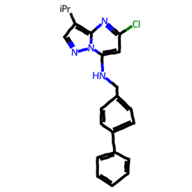 CC(C)c1cnn2c(NCc3ccc(-c4ccccc4)cc3)cc(Cl)nc12